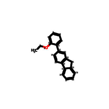 CCOc1ccccc1-c1[c]c2c(cc1)-c1ccccc1C2